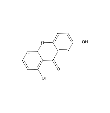 O=c1c2cc(O)ccc2oc2cccc(O)c12